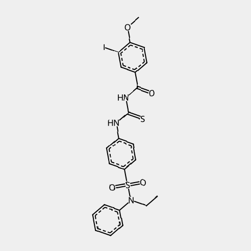 CCN(c1ccccc1)S(=O)(=O)c1ccc(NC(=S)NC(=O)c2ccc(OC)c(I)c2)cc1